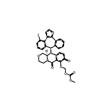 COC(=O)OCOc1c2n(ccc1=O)N([C@@H]1c3ccccc3-c3sccc3-c3c(F)cccc31)[C@@H]1COCCN1C2=O